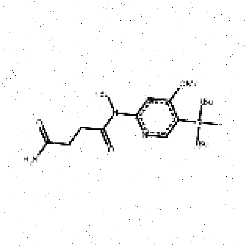 CCCCN(C(=O)CCC(N)=O)c1cc(OC)c([Si](F)(C(C)(C)C)C(C)(C)C)cn1